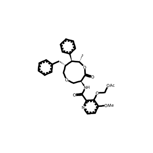 COc1ccnc(C(=O)N[C@H]2COC[C@H](Cc3ccccc3)[C@@H](c3ccccc3)[C@H](C)OC2=O)c1OCOC(C)=O